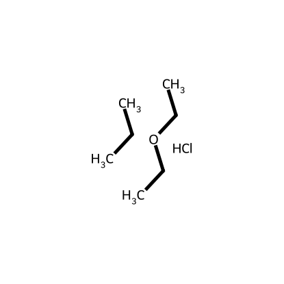 CCC.CCOCC.Cl